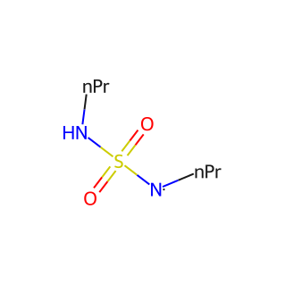 CCC[N]S(=O)(=O)NCCC